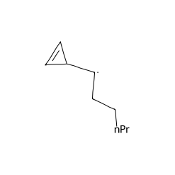 CCCCC[CH]C1C=C1